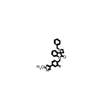 Cn1cc(-c2ccc(CN3C(=O)C4(CCN4Cc4ccccc4)c4ccccc43)c(F)c2)cn1